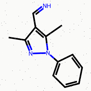 Cc1nn(-c2ccccc2)c(C)c1C=N